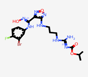 CC(C)OC(=O)/N=C(\N)NCCCNc1nonc1/C(=N/O)Nc1ccc(F)c(Br)c1